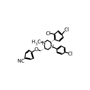 CN1C[C@H](c2ccc(Cl)cc2Cl)N(c2ccc(Cl)cc2)C[C@@H]1COc1ccc(C#N)cc1